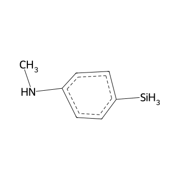 CNc1ccc([SiH3])cc1